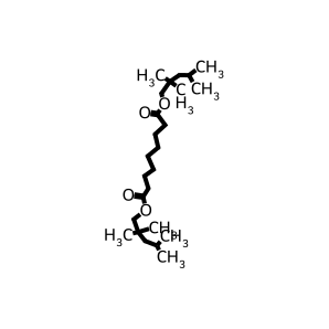 CC(C)CC(C)(C)COC(=O)CCCCCCCC(=O)OCC(C)(C)CC(C)C